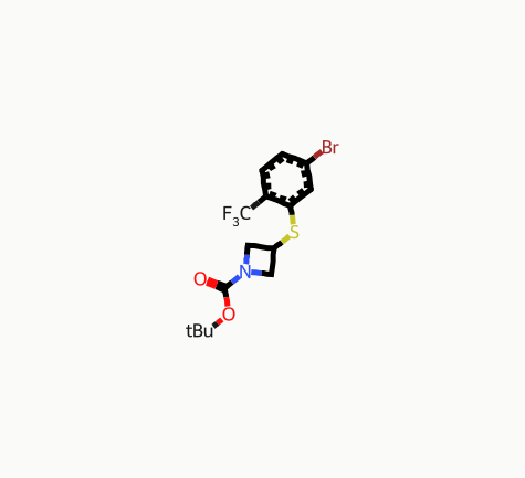 CC(C)(C)OC(=O)N1CC(Sc2cc(Br)ccc2C(F)(F)F)C1